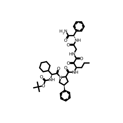 CCCC(NC(=O)C1C[C@@H](c2ccccc2)CN1C(=O)[C@@H](NC(=O)OC(C)(C)C)C1CCCCC1)C(=O)C(=O)NCC(=O)N[C@H](C(N)=O)c1ccccc1